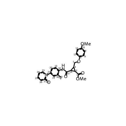 COC(=O)C1C(COc2ccc(OC)cc2)C1C(=O)Nc1ccc(-n2ccccc2=O)cc1F